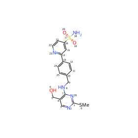 CSc1ncc(CO)c(NCc2ccc(-c3cc(S(N)(=O)=O)ccn3)cc2)n1